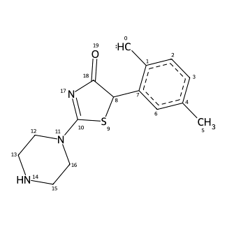 [CH]c1ccc(C)cc1C1SC(N2CCNCC2)=NC1=O